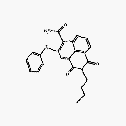 CCCCN1C(=O)c2cccc3c(C(N)=O)c(Sc4ccccc4)cc(c23)C1=O